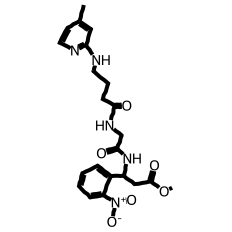 COC(=O)CC(NC(=O)CNC(=O)CCCNc1cc(C)ccn1)c1ccccc1[N+](=O)[O-]